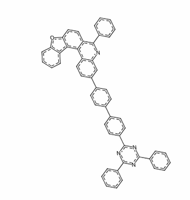 c1ccc(-c2nc(-c3ccccc3)nc(-c3ccc(-c4ccc(-c5ccc6c(c5)nc(-c5ccccc5)c5ccc7oc8ccccc8c7c56)cc4)cc3)n2)cc1